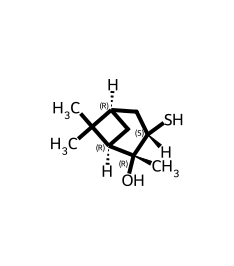 CC1(C)[C@@H]2C[C@H]1[C@@](C)(O)[C@@H](S)C2